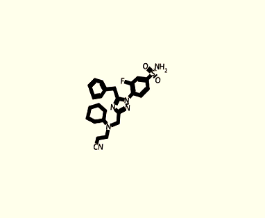 N#CCCN(Cc1nc(Cc2ccccc2)n(-c2ccc(S(N)(=O)=O)cc2F)n1)C1CCCCC1